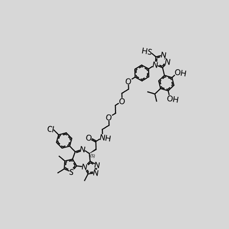 Cc1sc2c(c1C)C(c1ccc(Cl)cc1)=N[C@@H](CC(=O)NCCOCCOCCOc1ccc(-n3c(S)nnc3-c3cc(C(C)C)c(O)cc3O)cc1)c1nnc(C)n1-2